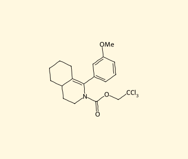 COc1cccc(C2=C3CCCCC3CCN2C(=O)OCC(Cl)(Cl)Cl)c1